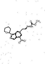 COC(=O)NN=CCc1cc([N+](=O)[O-])c2cnn(C3CCCCO3)c2c1